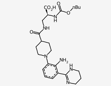 CCCCOC(=O)N[C@@H](CNC(=O)C1CCN(c2cccc(C3=NCCCN3)c2N)CC1)C(=O)O